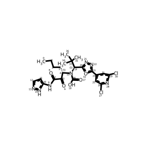 CCCC[C@@H](C(=O)C(=O)Nc1ccn[nH]1)N(C(=O)O)[C@H](c1nnc(-c2cc(Cl)nc(Cl)c2)o1)C(C)(C)C